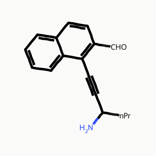 CCCC(N)C#Cc1c(C=O)ccc2ccccc12